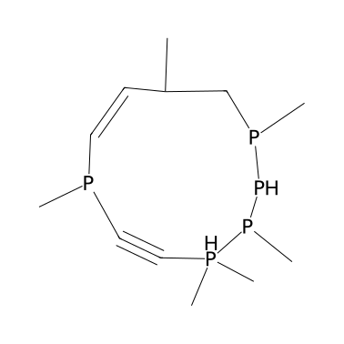 CC1C=CP(C)C#C[PH](C)(C)P(C)PP(C)C1